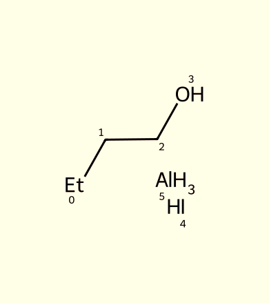 CCCCO.I.[AlH3]